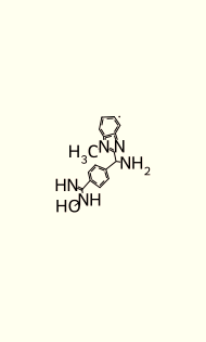 Cn1c(C(N)c2ccc(C(=N)NO)cc2)nc2c[c]ccc21